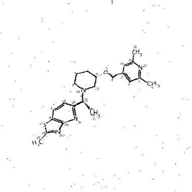 Cc1cc(CO[C@H]2CCCN([C@@H](C)c3ccc4sc(C)nc4n3)C2)cc(C)n1